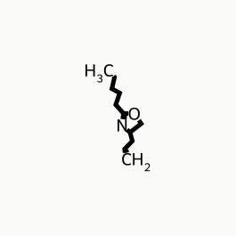 C=CCC1COC(CCCCC)=N1